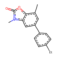 CCc1ccc(-c2cc(C)c3oc(=O)n(C)c3c2)cc1